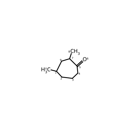 CC1CCCC(=O)C(C)C1